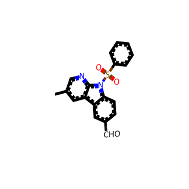 Cc1cnc2c(c1)c1cc(C=O)ccc1n2S(=O)(=O)c1ccccc1